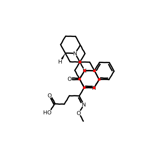 CON=C(CCC(=O)O)c1nc2ccccc2n(C2CC3CCC[C@@H](C2)N3C2CC3CCCC(C3)C2)c1=O